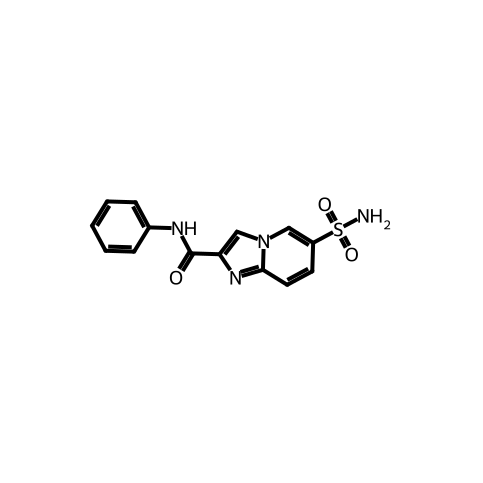 NS(=O)(=O)c1ccc2nc(C(=O)Nc3ccccc3)cn2c1